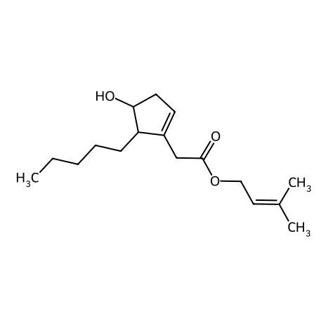 CCCCCC1C(CC(=O)OCC=C(C)C)=CCC1O